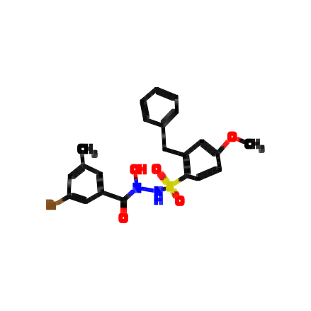 COc1ccc(S(=O)(=O)NN(O)C(=O)c2cc(C)cc(Br)c2)c(Cc2ccccc2)c1